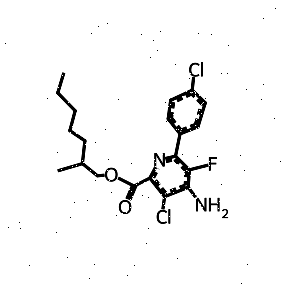 CCCCCC(C)COC(=O)c1nc(-c2ccc(Cl)cc2)c(F)c(N)c1Cl